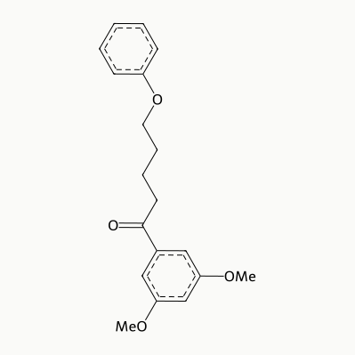 COc1cc(OC)cc(C(=O)CCCCOc2ccccc2)c1